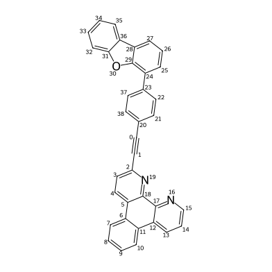 C(#Cc1ccc2c3ccccc3c3cccnc3c2n1)c1ccc(-c2cccc3c2oc2ccccc23)cc1